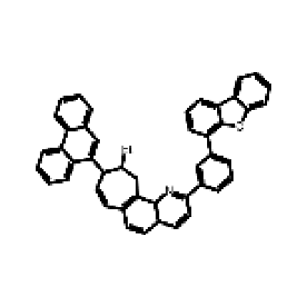 CCC1CC2=C(C=CC3C=CC(c4cccc(-c5cccc6c5oc5ccccc56)c4)=NC23)C=CC1c1cc2ccccc2c2ccccc12